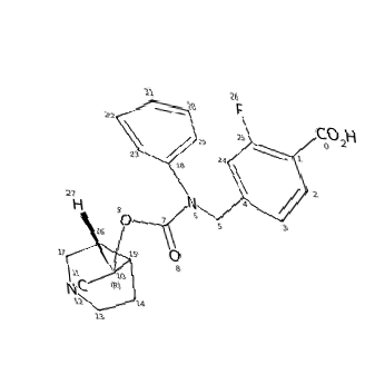 O=C(O)c1ccc(CN(C(=O)O[C@H]2CN3CCC2CC3)c2ccccc2)cc1F